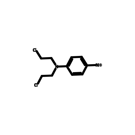 [NH]c1ccc(N(CCCl)CCCl)cc1